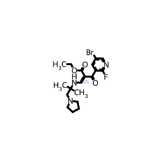 CCOC(=O)/C(=C\NC(C)(C)CN1CCCC1)C(=O)c1cc(Br)cnc1F